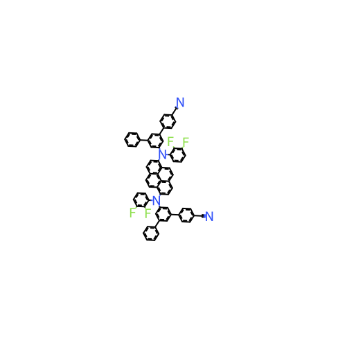 N#Cc1ccc(-c2cc(-c3ccccc3)cc(N(c3cccc(F)c3F)c3ccc4ccc5c(N(c6cc(-c7ccccc7)cc(-c7ccc(C#N)cc7)c6)c6cccc(F)c6F)ccc6ccc3c4c65)c2)cc1